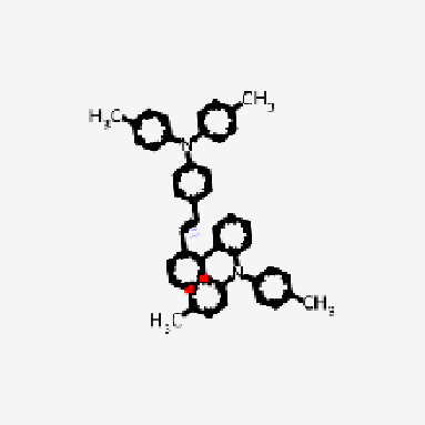 Cc1ccc(N(c2ccc(C)cc2)c2ccc(/C=C/c3ccccc3-c3ccccc3N(c3ccc(C)cc3)c3ccc(C)cc3)cc2)cc1